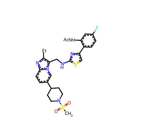 CCc1nc2ccc(C3CCN(S(C)(=O)=O)CC3)cn2c1CNc1nc(-c2ccc(F)cc2NC(C)=O)cs1